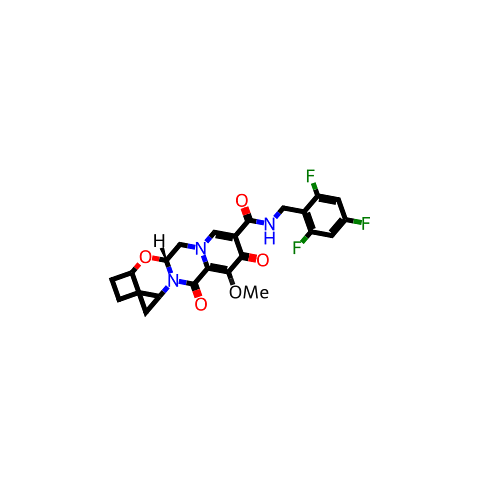 COc1c2n(cc(C(=O)NCc3c(F)cc(F)cc3F)c1=O)C[C@H]1OC3CCC34CC4N1C2=O